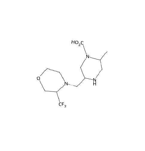 CC1CNC(CN2CCOCC2C(F)(F)F)CN1C(=O)O